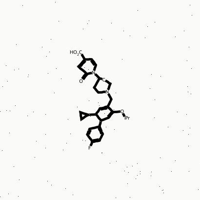 CC(C)OC1=CC(c2ccc(F)cc2)C(C2CC2)C=C1CN1CCC(n2ccc(C(=O)O)cc2=O)CC1